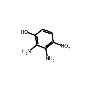 Nc1c(O)ccc([N+](=O)[O-])c1N